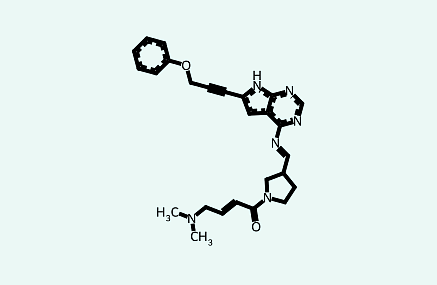 CN(C)C/C=C/C(=O)N1CCC(/C=N/c2ncnc3[nH]c(C#CCOc4ccccc4)cc23)C1